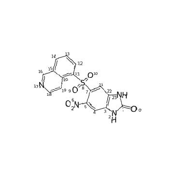 O=c1[nH]c2cc([N+](=O)[O-])c(S(=O)(=O)c3cccc4cnccc34)cc2[nH]1